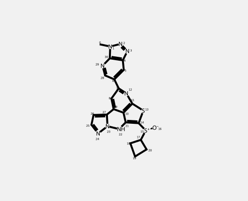 Cn1nnc2cc(-c3cc4c5c(n3)sc([S@+]([O-])C3CCC3)c5[nH]n3nccc43)cnc21